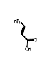 CCCC=CC(=O)C#N